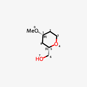 CO[C@@H]1CCO[C@H](CO)C1